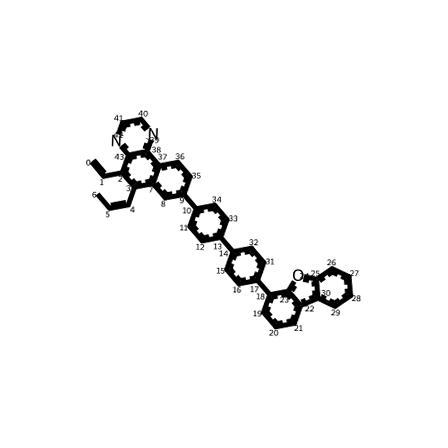 C=Cc1c(/C=C\C)c2cc(-c3ccc(-c4ccc(-c5cccc6c5oc5ccccc56)cc4)cc3)ccc2c2nccnc12